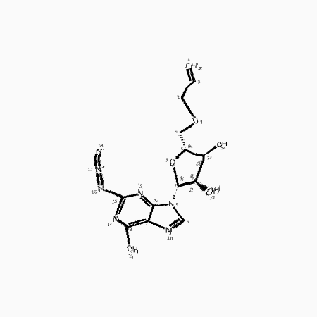 C=CCOC[C@H]1O[C@@H](n2cnc3c(O)nc(N=[N+]=[N-])nc32)[C@H](O)[C@@H]1O